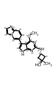 COc1nc(N[C@H]2C[C@@](C)(O)C2)nc2[nH]cc(-c3ccc4nccn4c3)c12